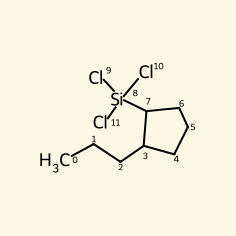 CCCC1CCCC1[Si](Cl)(Cl)Cl